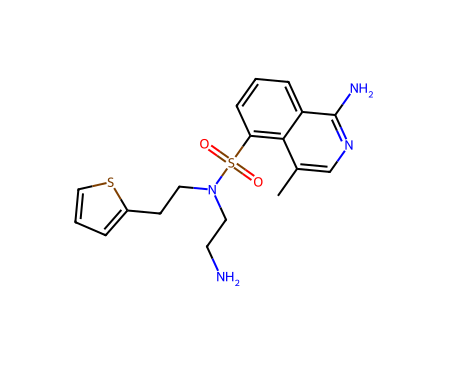 Cc1cnc(N)c2cccc(S(=O)(=O)N(CCN)CCc3cccs3)c12